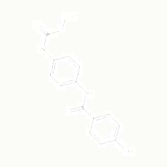 CCCCCCCCOC(=O)Nc1ccc(NC(=O)c2ccc(O)cc2)cc1